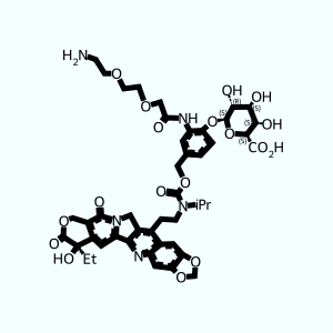 CC[C@@]1(O)C(=O)OCc2c1cc1n(c2=O)Cc2c-1nc1cc3c(cc1c2CCN(C(=O)OCc1ccc(O[C@@H]2O[C@H](C(=O)O)[C@@H](O)[C@H](O)[C@H]2O)c(NC(=O)COCCOCCN)c1)C(C)C)OCO3